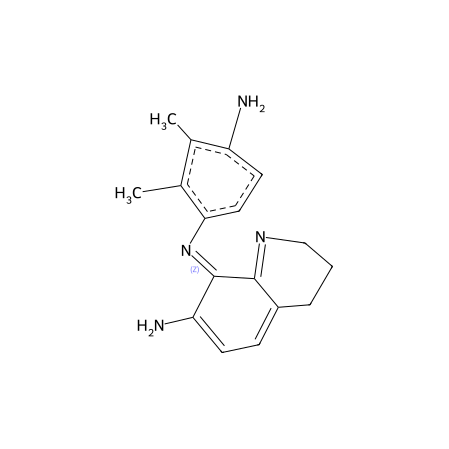 Cc1c(N)ccc(/N=C2/C(N)=CC=C3CCCN=C32)c1C